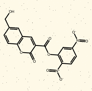 O=C(Oc1cc([N+](=O)[O-])ccc1[N+](=O)[O-])c1cc2cc(CO)ccc2oc1=O